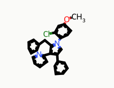 COc1ccc(-n2cc(-c3ccccc3)c(-c3ccccn3)c2Cc2ccccc2)c(Cl)c1